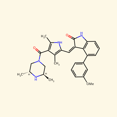 COc1cccc(-c2cccc3c2C(=Cc2[nH]c(C)c(C(=O)N4C[C@@H](C)N[C@H](C)C4)c2C)C(=O)N3)c1